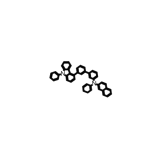 C1=CC(N(c2cccc(-c3cccc(-c4cccc5c4c4ccccc4n5-c4ccccc4)c3)c2)c2ccc3ccccc3c2)=CCC1